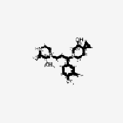 C[C@@H]1C(=O)NCCN1CCC(c1ccc(C(F)(F)F)c(F)c1)N1CCC2(CC2)[C@H](O)C1